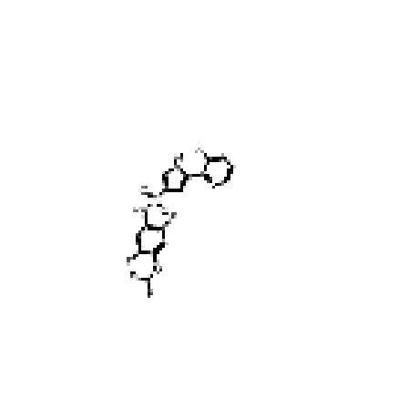 O=S(=O)(Nc1cc(F)c(OC(F)F)cc1F)c1c[nH]c(-c2ncccc2F)c1